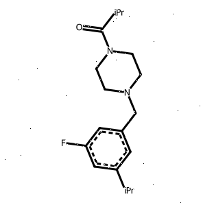 CC(C)C(=O)N1CCN(Cc2cc(F)cc(C(C)C)c2)CC1